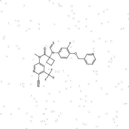 CN(C(=O)C1(N(C=S)c2ccc(OCc3cccnc3)c(F)c2)CCC1)c1cnc(C#N)c(C(F)(F)F)c1